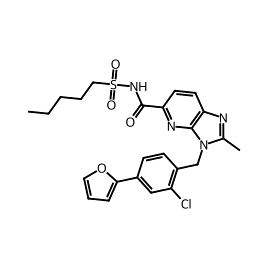 CCCCCS(=O)(=O)NC(=O)c1ccc2nc(C)n(Cc3ccc(-c4ccco4)cc3Cl)c2n1